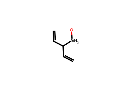 C=CC(C=C)[SiH2][O]